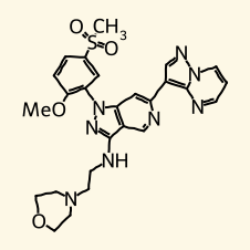 COc1ccc(S(C)(=O)=O)cc1-n1nc(NCCN2CCOCC2)c2cnc(-c3cnn4cccnc34)cc21